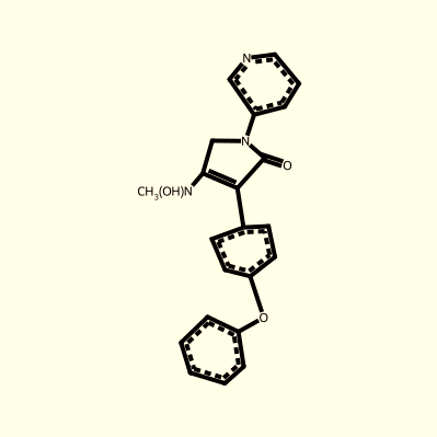 CN(O)C1=C(c2ccc(Oc3ccccc3)cc2)C(=O)N(c2cccnc2)C1